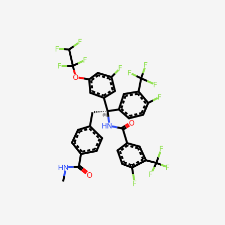 CNC(=O)c1ccc(C[C@](NC(=O)c2ccc(F)c(C(F)(F)F)c2)(c2cc(F)cc(OC(F)(F)C(F)F)c2)c2ccc(F)c(C(F)(F)F)c2)cc1